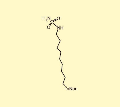 CCCCCCCCCCCCCCCCCCNS(N)(=O)=O